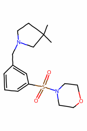 CC1(C)CCN(Cc2cccc(S(=O)(=O)N3CCOCC3)c2)C1